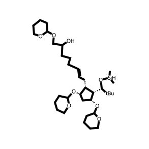 C[SiH](C)OC([C@H]1[C@@H](CC=CCCCC(O)COC2CCCCO2)[C@@H](OC2CCCCO2)C[C@H]1OC1CCCCO1)C(C)(C)C